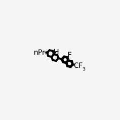 CCC[C@@H]1CC[C@@H]2CC(c3cc(F)c4cc(C(F)(F)F)ccc4c3)CCC2C1